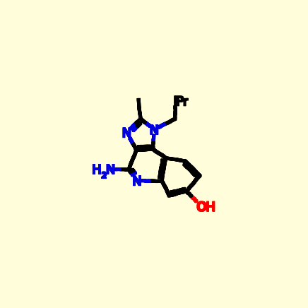 Cc1nc2c(N)nc3cc(O)ccc3c2n1CC(C)C